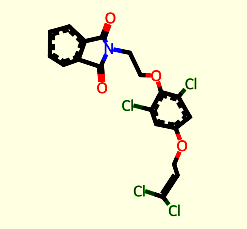 O=C1c2ccccc2C(=O)N1CCOc1c(Cl)cc(OCC=C(Cl)Cl)cc1Cl